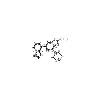 O=Cc1cn2cc(-c3cccc4[nH]ncc34)nc(N3CCOCC3)c2n1